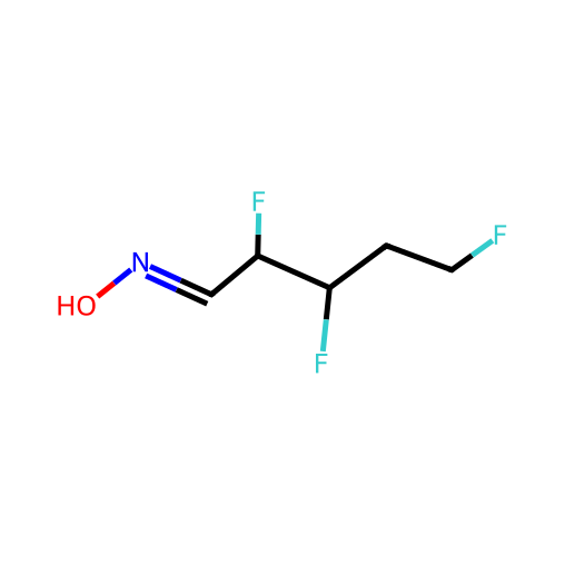 ON=CC(F)C(F)CCF